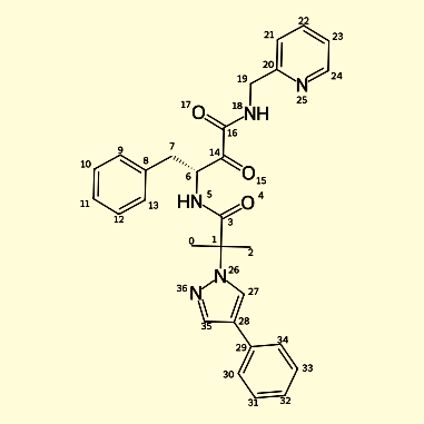 CC(C)(C(=O)N[C@H](Cc1ccccc1)C(=O)C(=O)NCc1ccccn1)n1cc(-c2ccccc2)cn1